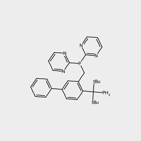 CC(C)(C)C(P)(c1ccc(-c2ccccc2)cc1CP(c1ncccn1)c1ncccn1)C(C)(C)C